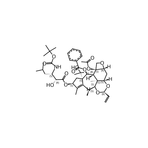 C=C[C@@H]1O[C@H]2C[C@H]3OC[C@@]3(OC(C)=O)[C@H]3[C@H](OC(=O)c4ccccc4)[C@]4(C(C)(C)O)C[C@H](OC(=O)[C@H](O)[C@H](CC(C)C)NC(=O)OC(C)(C)C)C(C)=C4[C@H](C)[C@H](O1)[C@]23C